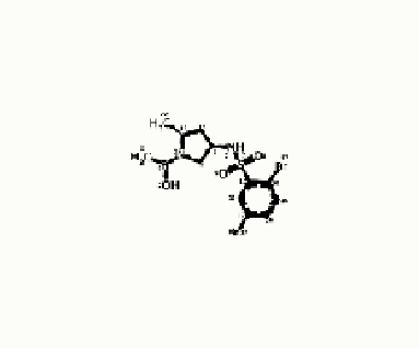 CB(O)N1C[C@H](NS(=O)(=O)c2cc(Br)ccc2Br)C[C@@H]1C